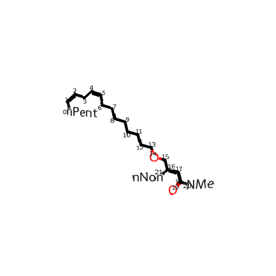 CCCCC/C=C\C/C=C\CCCCCCCCOC/C(=C/C(=O)NC)CCCCCCCCC